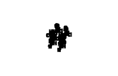 COn1c(=O)c(-c2cc(NC(=O)c3cc(Cl)nc(N4CCCCC4)c3)ccc2Cl)cc2cnc(NCCN(C)C)nc21.COn1c(=O)c(-c2cc(NC(=O)c3cc(Cl)nc(N4CCOCC4)c3)ccc2Cl)cc2cnc(NCCN(C)C)nc21